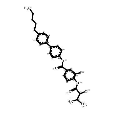 CCCCCc1ccc(-c2ccc(OC(=O)c3ccc(OC(=O)C(Cl)C(C)C)c(F)c3)cc2)cc1